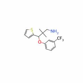 CC(C)(CN)C(Oc1cccc(C(F)(F)F)c1)c1cccs1